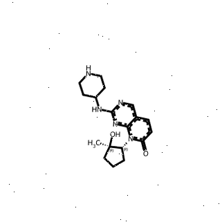 C[C@@]1(O)CCC[C@H]1n1c(=O)ccc2cnc(NC3CCNCC3)nc21